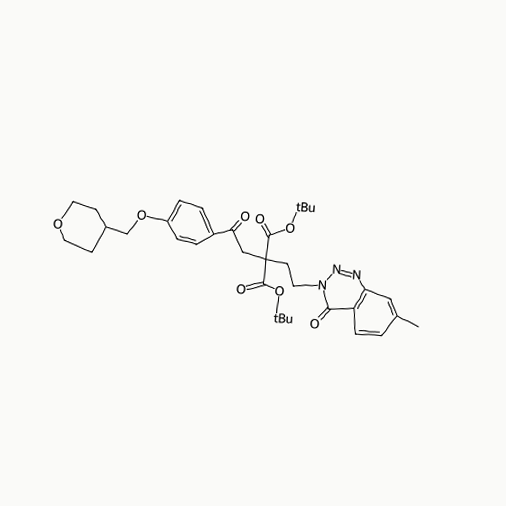 Cc1ccc2c(=O)n(CCC(CC(=O)c3ccc(OCC4CCOCC4)cc3)(C(=O)OC(C)(C)C)C(=O)OC(C)(C)C)nnc2c1